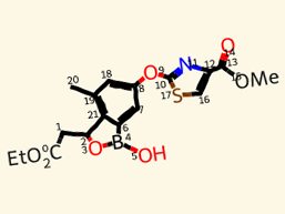 CCOC(=O)CC1OB(O)c2cc(Oc3nc(C(=O)OC)cs3)cc(C)c21